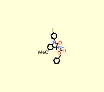 COc1ccc2c(c1)C(C)(NC(=O)OCc1ccccc1)C(=O)N2c1ccc(F)cc1